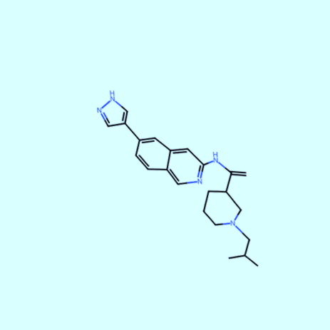 C=C(Nc1cc2cc(-c3cn[nH]c3)ccc2cn1)C1CCCN(CC(C)C)C1